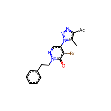 CC(=O)c1nnn(-c2cnn(CCc3ccccc3)c(=O)c2Br)c1C